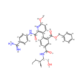 CC[C@H](C)[C@@H](CO)NC(=O)c1ccc(-c2ccc(OC)nc2C(=O)Nc2ccc(C(=N)N)cc2)c(C(=O)OCc2ccccc2)c1